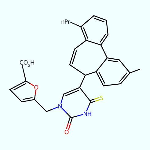 CCCc1cccc2c1C=CC(c1cn(Cc3ccc(C(=O)O)o3)c(=O)[nH]c1=S)c1ccc(C)cc1-2